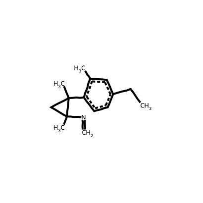 C=NC1(C)CC1(C)c1ccc(CC)cc1C